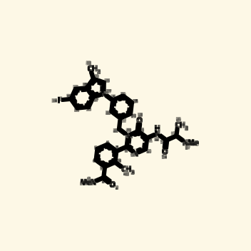 CNC(=O)c1cccc(-c2ncc(NC(=O)C(C)NC)c(=O)n2Cc2cccc(-n3cc(C)c4cc(F)ccc43)c2)c1C